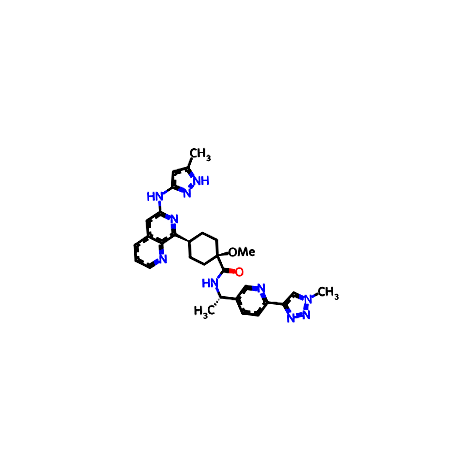 CO[C@]1(C(=O)N[C@@H](C)c2ccc(-c3cn(C)nn3)nc2)CC[C@H](c2nc(Nc3cc(C)[nH]n3)cc3cccnc32)CC1